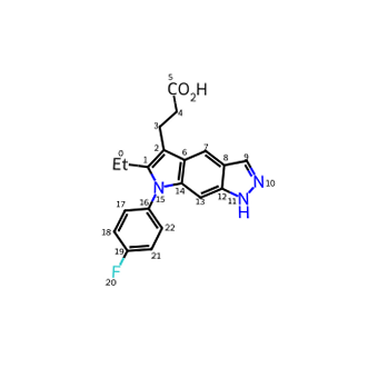 CCc1c(CCC(=O)O)c2cc3cn[nH]c3cc2n1-c1ccc(F)cc1